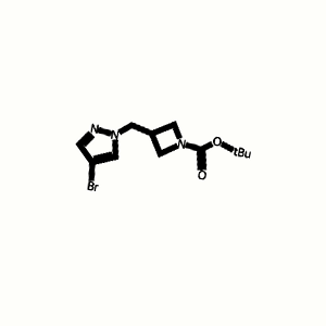 CC(C)(C)OC(=O)N1CC(Cn2cc(Br)cn2)C1